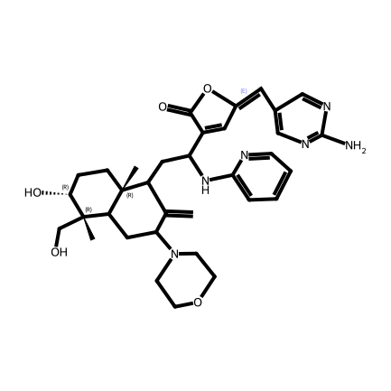 C=C1C(N2CCOCC2)CC2[C@](C)(CC[C@@H](O)[C@@]2(C)CO)C1CC(Nc1ccccn1)C1=C/C(=C\c2cnc(N)nc2)OC1=O